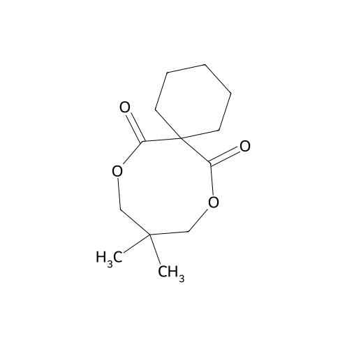 CC1(C)COC(=O)C2(CCCCC2)C(=O)OC1